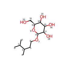 CC(C)C(C)CCOC1O[C@@H](CO)C(O)C(O)C1O